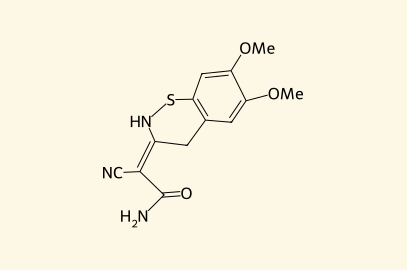 COc1cc2c(cc1OC)SN/C(=C(\C#N)C(N)=O)C2